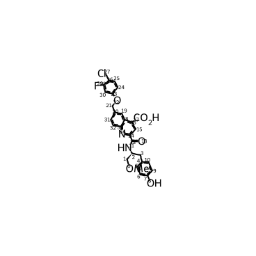 COC[C@H](Cc1ccc(O)cc1)NC(=O)c1cc(C(=O)O)c2cc(COc3ccc(Cl)c(F)c3)ccc2n1